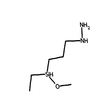 CC[SiH](CCCNN)OC